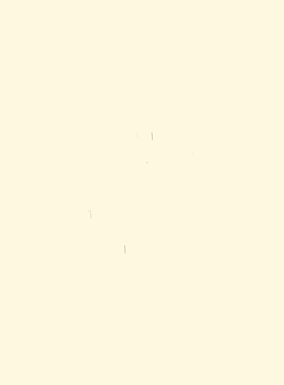 C=C(CO)CC[C@@H](Cl)CC